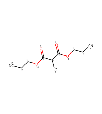 CCC(C(=O)OCCC#N)C(=O)OCCC#N